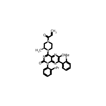 C=CC(=O)N1CCN(c2nc(=O)n(-c3ccccc3CCC)c3nc(-c4ccccc4F)c(OC)nc23)[C@@H](C)C1